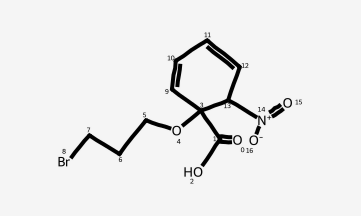 O=C(O)C1(OCCCBr)C=CC=CC1[N+](=O)[O-]